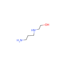 NCCCNCCO